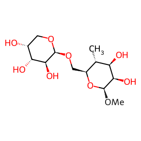 CO[C@H]1O[C@@H](CO[C@@H]2OC[C@@H](O)[C@@H](O)[C@@H]2O)[C@H](C)[C@@H](O)[C@H]1O